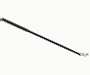 O=C(O)CCCCCCCCCCCCCCCCCCCCCCCCCCCCCCCCCCCCCCCCCCCCCCCCCCCOOOOOOOOOOOOOOOOOOOOOOONO